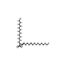 CCCCCCCCCCCCCCC=C1OC(=O)C1CCCCCCCCCCCCCC